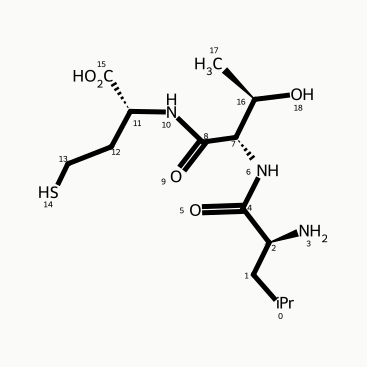 CC(C)C[C@H](N)C(=O)N[C@H](C(=O)N[C@H](CCS)C(=O)O)[C@@H](C)O